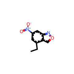 CCc1cc([N+](=O)[O-])cc2nocc12